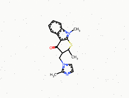 Cc1nccn1CC1C(=O)c2c(n(C)c3ccccc23)SC1C